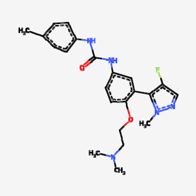 Cc1ccc(NC(=O)Nc2ccc(OCCN(C)C)c(-c3c(F)cnn3C)c2)cc1